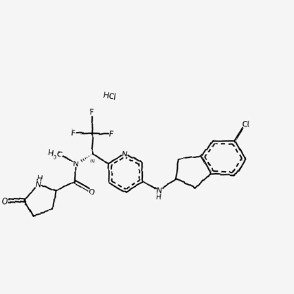 CN(C(=O)C1CCC(=O)N1)[C@@H](c1ccc(NC2Cc3ccc(Cl)cc3C2)cn1)C(F)(F)F.Cl